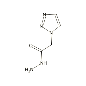 NNC(=O)Cn1ccnn1